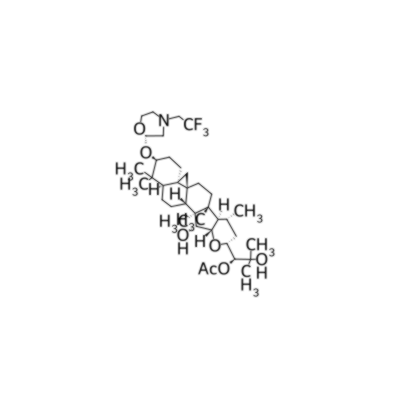 CC(=O)O[C@@H]([C@H]1C[C@@H](C)[C@H]2[C@H](O1)[C@H](O)[C@@]1(C)[C@@H]3CC[C@H]4C(C)(C)[C@@H](O[C@H]5CN(CC(F)(F)F)CCO5)CC[C@@]45C[C@@]35CC[C@]21C)C(C)(C)O